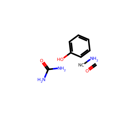 C=O.N#CN.NC(N)=O.Oc1ccccc1